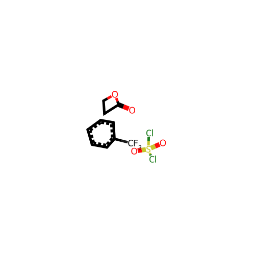 FC(F)(F)c1ccccc1.O=C1CCO1.O=S(=O)(Cl)Cl